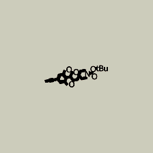 CC#Cc1cc(C)c(C2C(=O)CC3(CCN(C(=O)OC(C)(C)C)CC3)OC2=O)c(C)c1